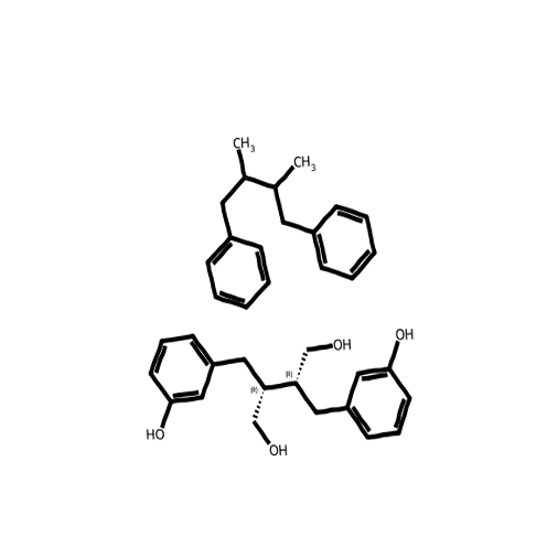 CC(Cc1ccccc1)C(C)Cc1ccccc1.OC[C@H](Cc1cccc(O)c1)[C@H](CO)Cc1cccc(O)c1